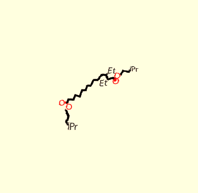 CCC(CCCCCCCCCCCC(=O)OCCCC(C)C)C(CC)C(=O)OCCCC(C)C